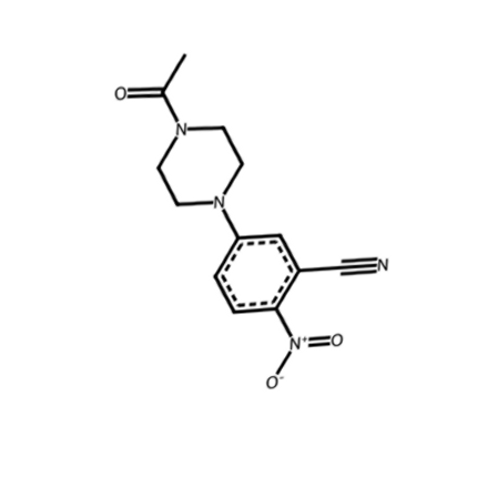 CC(=O)N1CCN(c2ccc([N+](=O)[O-])c(C#N)c2)CC1